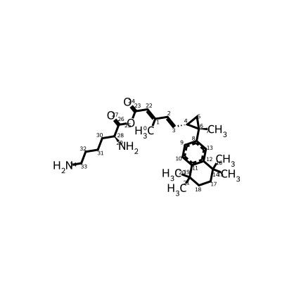 CC(/C=C/[C@@H]1C[C@]1(C)c1ccc2c(c1)C(C)(C)CCC2(C)C)=C\C(=O)OC(=O)[C@@H](N)CCCCN